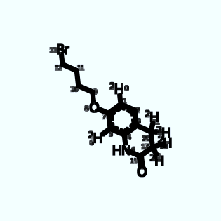 [2H]c1cc2c(c([2H])c1OCCCCBr)NC(=O)C([2H])([2H])C2([2H])[2H]